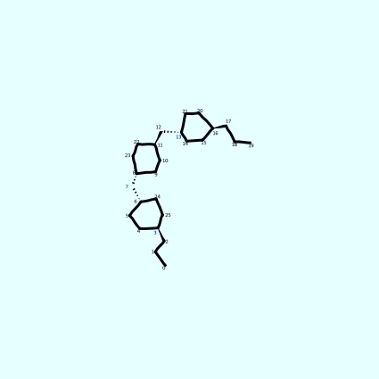 CCC[C@H]1CC[C@H](C[C@H]2CC[C@H](C[C@H]3CC[C@H](CCC)CC3)CC2)CC1